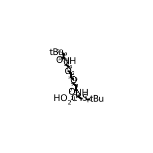 CC(C)(C)CSC[C@H](NC(=O)CCOCCOCCNC(=O)CC(C)(C)C)C(=O)O